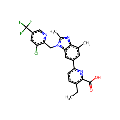 CCc1ccc(-c2cc(C)c3nc(C)n(Cc4ncc(C(F)(F)F)cc4Cl)c3c2)nc1C(=O)O